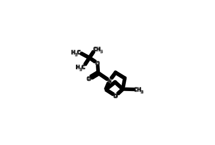 CC(C)(C)OC(=O)N1CCC2(C)CC1O2